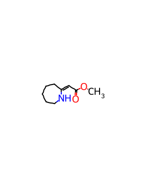 COC(=O)C=C1CCCCCN1